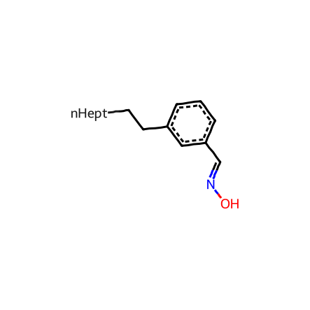 CCCCCCCCCc1cccc(C=NO)c1